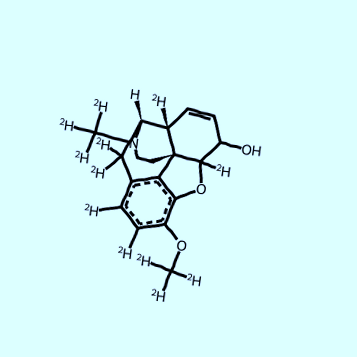 [2H]c1c([2H])c2c3c(c1OC([2H])([2H])[2H])OC1([2H])C(O)C=C[C@@]4([2H])[C@H](N(C([2H])([2H])[2H])CC[C@]314)C2([2H])[2H]